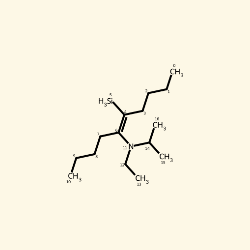 CCCCC([SiH3])=C(CCCC)N(CC)C(C)C